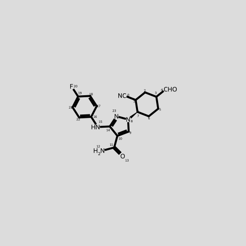 N#CC1CC(C=O)CC[C@H]1n1cc(C(N)=O)c(Nc2ccc(F)cc2)n1